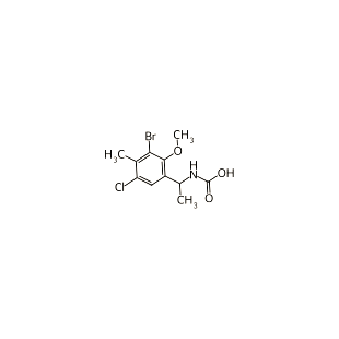 COc1c(C(C)NC(=O)O)cc(Cl)c(C)c1Br